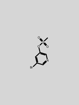 CS(=O)(=O)Oc1cncc(Br)c1